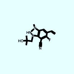 C=Cc1cc2c(c(C#N)c1F)N(CC(C)(C)O)NN2C